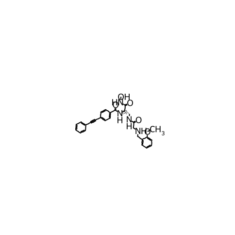 COc1ccccc1CNCC(=O)NC[C@H](NC(=O)c1ccc(C#Cc2ccccc2)cc1)C(=O)NO